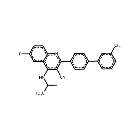 CC(Nc1c(C#N)c(-c2ccc(-c3cccc(C(F)(F)F)c3)cc2)nc2ccc(F)cc12)C(=O)O